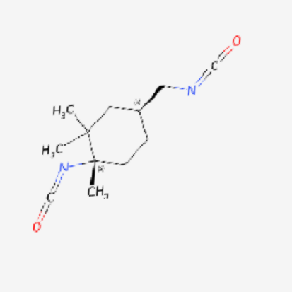 CC1(C)C[C@@H](CN=C=O)CC[C@]1(C)N=C=O